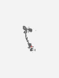 O=C1CCC(N2C(=O)c3ccc(OCCOCCOCCOC[C@H]4CC[C@@H](n5c(NC(=O)c6cccc(C(F)(F)F)c6)nc6cc(F)ccc65)CC4)cc3C2=O)C(=O)N1